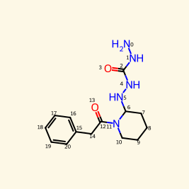 NNC(=O)NNC1CCCCN1C(=O)Cc1ccccc1